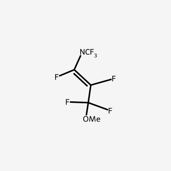 COC(F)(F)/C(F)=C(\F)NC(F)(F)F